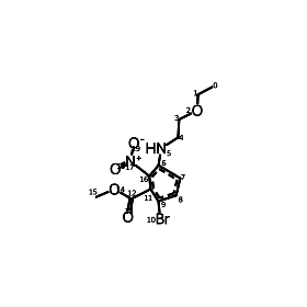 CCOCCNc1ccc(Br)c(C(=O)OC)c1[N+](=O)[O-]